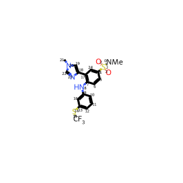 CNS(=O)(=O)c1ccc(Nc2cccc(SC(F)(F)F)c2)c(-c2cn(C)cn2)c1